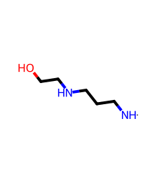 [NH]CCCNCCO